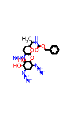 C[C@@H](NC(=O)OCc1ccccc1)[C@@H]1CCC(N=[N+]=[N-])[C@@H](O[C@@H]2C(N=[N+]=[N-])CC(N=[N+]=[N-])[C@H](O)[C@H]2O)O1